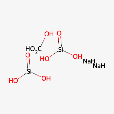 O=C(O)O.O=[Si](O)O.O=[Si](O)O.[NaH].[NaH]